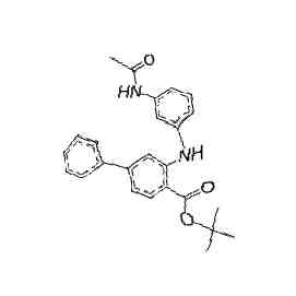 CC(=O)Nc1cccc(Nc2cc(-c3ccccc3)ccc2C(=O)OC(C)(C)C)c1